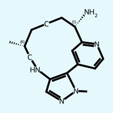 C[C@@H]1CCC[C@H](N)c2cc(ccn2)-c2c(cnn2C)NC1